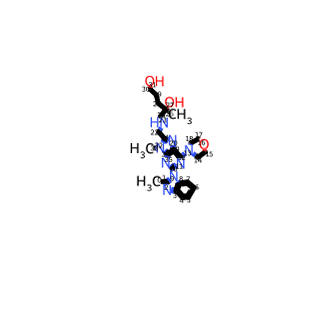 Cc1nc2ccccc2n1-c1nc(N2CCOCC2)c2nc(CNCC(C)(O)CCCO)n(C)c2n1